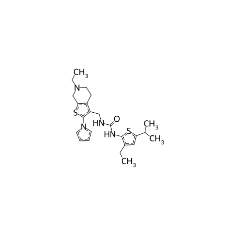 CCc1cc(C(C)C)sc1NC(=O)NCc1c(-n2cccc2)sc2c1CCN(CC)C2